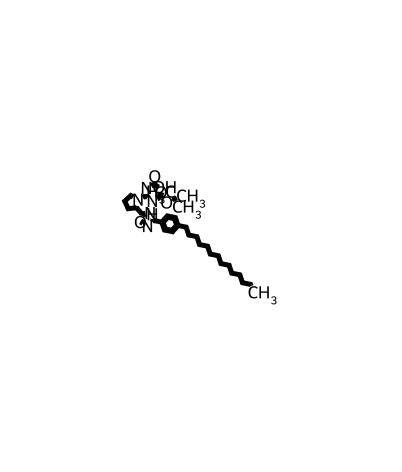 CCCCCCCCCCCCCCc1ccc(-c2noc(C3CCCN3/C(=N/C(=O)O)NC(=O)OC(C)(C)C)n2)cc1